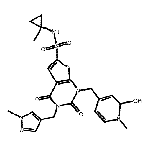 CN1C=CC(Cn2c(=O)n(Cc3cnn(C)c3)c(=O)c3cc(S(=O)(=O)NC4(C)CC4)sc32)=CC1O